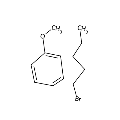 CCCCCBr.COc1ccccc1